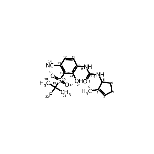 CC1=CCCC1NC(=O)Nc1ccc(C#N)c(S(=O)(=O)C(C)(C)F)c1O